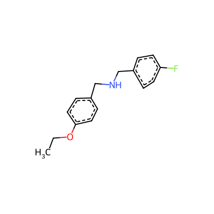 CCOc1ccc(CNCc2ccc(F)cc2)cc1